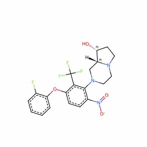 O=[N+]([O-])c1ccc(Oc2ccccc2F)c(C(F)(F)F)c1N1CCN2CC[C@@H](O)[C@H]2C1